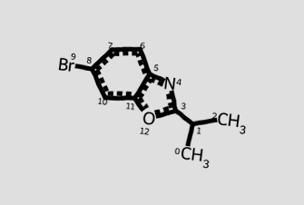 CC(C)c1nc2ccc(Br)cc2o1